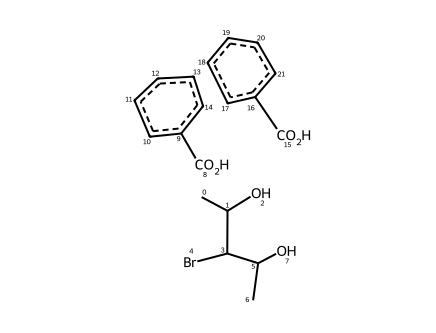 CC(O)C(Br)C(C)O.O=C(O)c1ccccc1.O=C(O)c1ccccc1